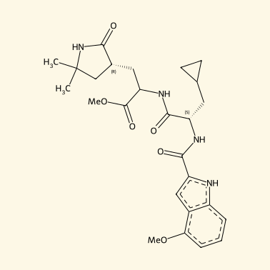 COC(=O)C(C[C@@H]1CC(C)(C)NC1=O)NC(=O)[C@H](CC1CC1)NC(=O)c1cc2c(OC)cccc2[nH]1